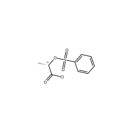 C[C@H](OS(=O)(=O)c1ccccc1)C(=O)Cl